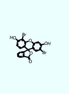 O=C1OC2(c3cc(Br)c(O)cc3Oc3c2ccc(O)c3Br)c2ccccc21